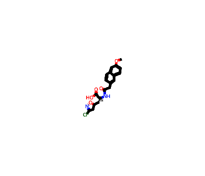 COc1ccc2cc(CC(=O)N[C@@H](CC3CC(Cl)=NO3)C(=O)O)ccc2c1